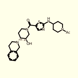 CC(=O)N1CCC(Nc2ncc(C(=O)N3CC[C@@H](N4CCc5ccccc5C4)[C@H](O)C3)s2)CC1